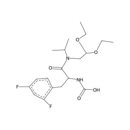 CCOC(CN(C(=O)C(Cc1ccc(F)cc1F)NC(=O)O)C(C)C)OCC